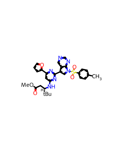 COC(=O)C[C@@H](Nc1cc(-c2ccco2)nc(-c2cn(S(=O)(=O)c3ccc(C)cc3)c3ncncc23)n1)C(C)(C)C